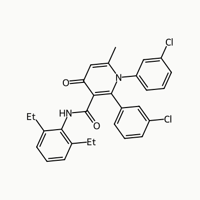 CCc1cccc(CC)c1NC(=O)c1c(-c2cccc(Cl)c2)n(-c2cccc(Cl)c2)c(C)cc1=O